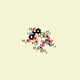 CCOC(=O)OC1=C(c2cc(C)ccc2C)C(=O)N[C@]12CC[C@@H](OC)CC2.CS/C(C)=N\OC(=O)N(C)SN(C)C(=O)O/N=C(/C)SC